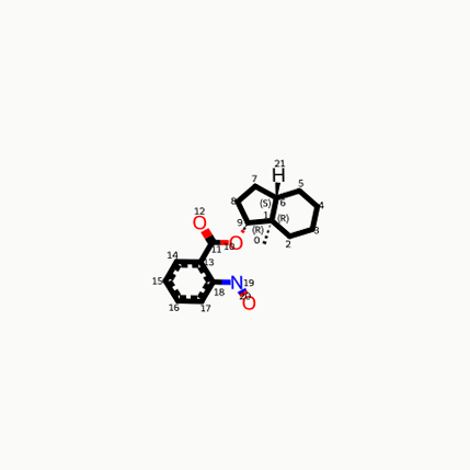 C[C@@]12CCCC[C@H]1CC[C@H]2OC(=O)c1ccccc1N=O